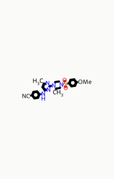 COc1ccc(S(=O)(=O)N2CCN(c3nc(C)cc(Nc4ccc(C#N)cc4)n3)C(C)C2)cc1